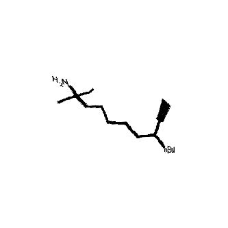 C#CC(CCCC)CCCCCC(C)(C)N